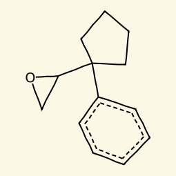 c1ccc(C2(C3CO3)CCCC2)cc1